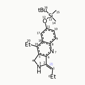 CC/C=C1\NCc2c1nc1ccc(O[Si](C)(C)C(C)(C)C)cc1c2CC